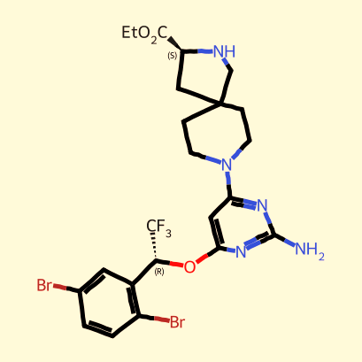 CCOC(=O)[C@@H]1CC2(CCN(c3cc(O[C@H](c4cc(Br)ccc4Br)C(F)(F)F)nc(N)n3)CC2)CN1